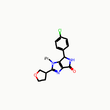 CC(C)n1c(C2CCOC2)nc2c1C(c1ccc(Cl)cc1)NC2=O